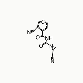 N#Cc1ccccc1C(=O)NC(=O)N1CC1C#N